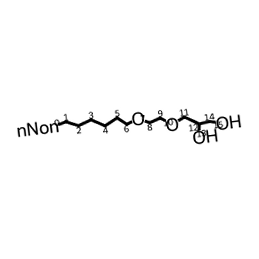 CCCCCCCCCCCCCCCOCCOCC(O)CO